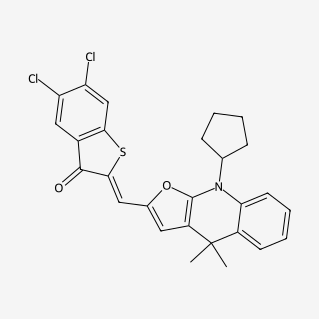 CC1(C)c2ccccc2N(C2CCCC2)c2oc(/C=C3\Sc4cc(Cl)c(Cl)cc4C3=O)cc21